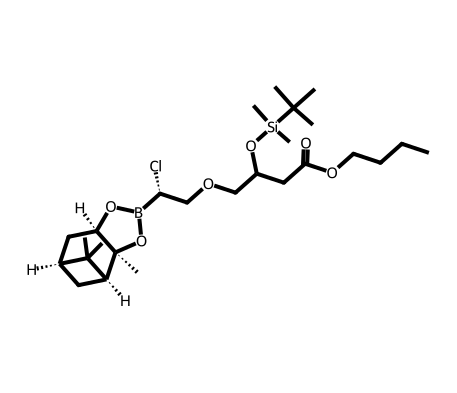 CCCCOC(=O)CC(COC[C@@H](Cl)B1O[C@@H]2C[C@@H]3C[C@@H](C3(C)C)[C@]2(C)O1)O[Si](C)(C)C(C)(C)C